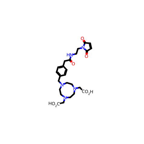 O=C(O)CN1CCN(CC(=O)O)CCN(Cc2ccc(CC(=O)NCCN3C(=O)C=CC3=O)cc2)CC1